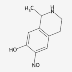 CC1NCCc2cc(N=O)c(O)cc21